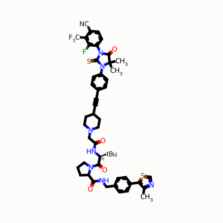 Cc1ncsc1-c1ccc(CNC(=O)C2CCCN2C(=O)[C@@H](NC(=O)CN2CCC(C#Cc3ccc(N4C(=S)N(c5ccc(C#N)c(C(F)(F)F)c5F)C(=O)C4(C)C)cc3)CC2)C(C)(C)C)cc1